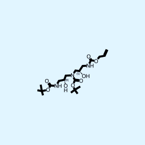 C=CCOC(=O)NC[C@H](O)CN(C[C@H](O)CNC(=O)OC(C)(C)C)C(=O)OC(C)(C)C